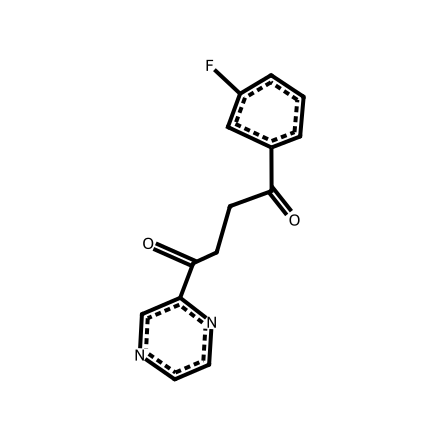 O=C(CCC(=O)c1cnccn1)c1cccc(F)c1